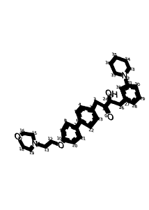 O=C(Cc1ccc(-c2ccc(OCCN3CCOCC3)cc2)cc1)C(O)Cc1cccc(N2CCCCC2)c1